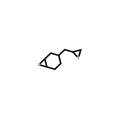 C1CC2SC2CC1CC1CS1